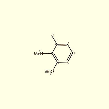 CNc1c(C)cccc1OCC(C)C